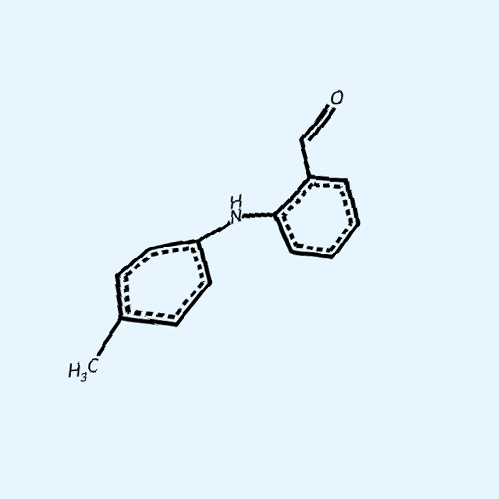 Cc1ccc(Nc2ccccc2C=O)cc1